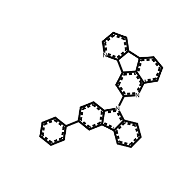 c1ccc(-c2ccc3c(c2)c2ccccc2n3-c2cc3c4c(cccc4n2)-c2cccnc2-3)cc1